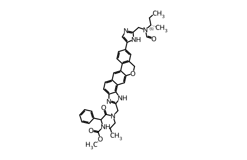 CCCN(Cc1nc2ccc3cc4c(cc3c2[nH]1)OCc1cc(-c2cnc(CN(C=O)[C@@H](C)CC)[nH]2)ccc1-4)C(=O)C(NC(=O)OC)c1ccccc1